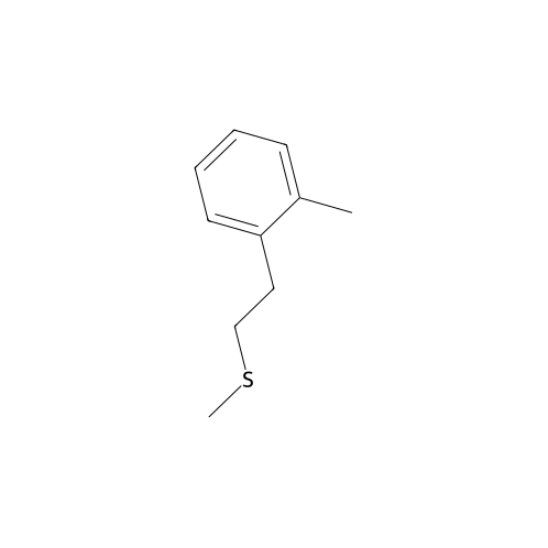 CSCCc1ccccc1C